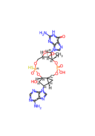 CO[C@H]1[C@H]2OP(=O)(O)OCC34C[C@@H]3[C@@H](n3cnc5c(N)ncnc53)[C@H](O)[C@@H]4O[P@](=O)(S)OC[C@H]1O[C@H]2n1cnc2c(=O)[nH]c(N)nc21